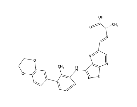 Cc1c(Nc2nsc3ncc(C=N[C@@H](C)C(=O)O)nc23)cccc1-c1ccc2c(c1)OCCO2